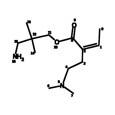 CC=C(CCN(C)C)C(=O)OCC(C)(C)CN